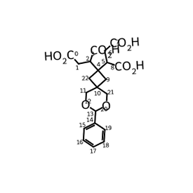 O=C(O)CC(C(=O)O)C1(C(CC(=O)O)C(=O)O)CC2(COC(c3ccccc3)OC2)C1